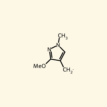 [CH2]c1cn(C)nc1OC